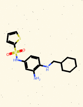 Nc1cc(NS(=O)(=O)c2cccs2)ccc1NCC1CCCCC1